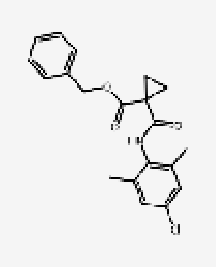 Cc1cc(Cl)cc(C)c1NC(=O)C1(C(=O)OCc2ccccc2)CC1